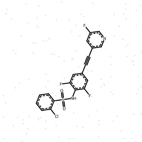 O=S(=O)(Nc1c(F)cc(C#Cc2cncc(F)c2)cc1F)c1ccccc1Cl